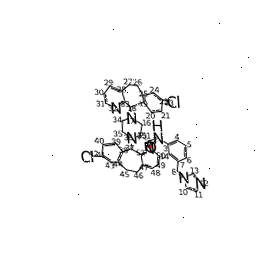 O=C(Nc1cccc(Cn2ccnc2)c1)[C@H]1CN(C2c3ccc(Cl)cc3CCc3cccnc32)CCN1C1c2ccc(Cl)cc2CCc2cccnc21